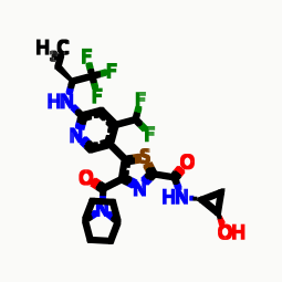 CC[C@H](Nc1cc(C(F)F)c(-c2sc(C(=O)N[C@@H]3C[C@H]3O)nc2C(=O)N2C3CCC2CC3)cn1)C(F)(F)F